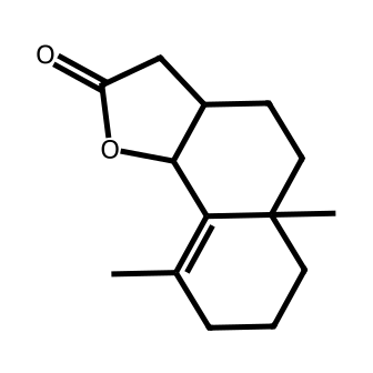 CC1=C2C3OC(=O)CC3CCC2(C)CCC1